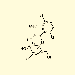 COc1c(Cl)ccc(Cl)c1C(=O)O[C@H]1[C@H](O)[C@@H](O)[C@H](O)O[C@@H]1CO